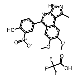 COc1cc2c(-c3ccc(O)c([N+](=O)[O-])c3)nc3[nH]nc(C)c3c2cc1OC.O=C(O)C(F)(F)F